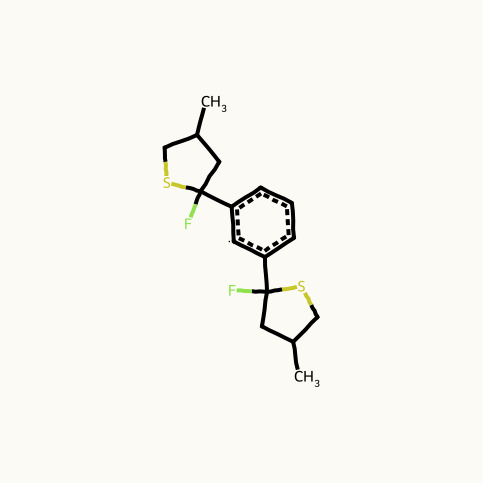 CC1CSC(F)(c2[c]c(C3(F)CC(C)CS3)ccc2)C1